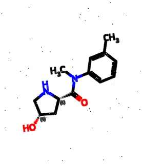 Cc1cccc(N(C)C(=O)[C@@H]2C[C@H](O)CN2)c1